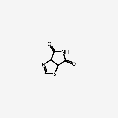 O=C1NC(=O)C2S[C]=NC12